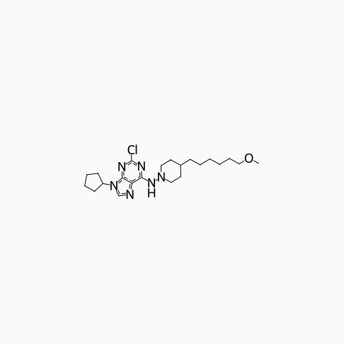 COCCCCCCC1CCN(Nc2nc(Cl)nc3c2ncn3C2CCCC2)CC1